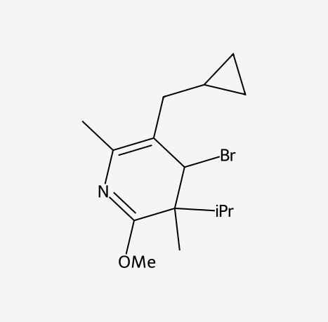 COC1=NC(C)=C(CC2CC2)C(Br)C1(C)C(C)C